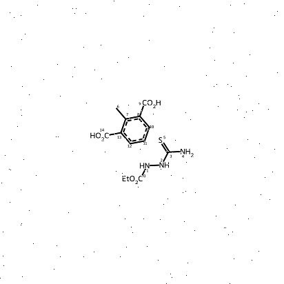 CCOC(=O)NNC(N)=S.Cc1c(C(=O)O)cccc1C(=O)O